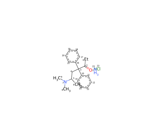 CCC(=O)C(CC(C)N(C)C)(c1ccccc1)c1ccccc1.Cl.N